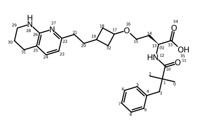 CC(C)(Cc1ccccc1)C(=O)N[C@@H](CCOC1CC(CCc2ccc3c(n2)NCCC3)C1)C(=O)O